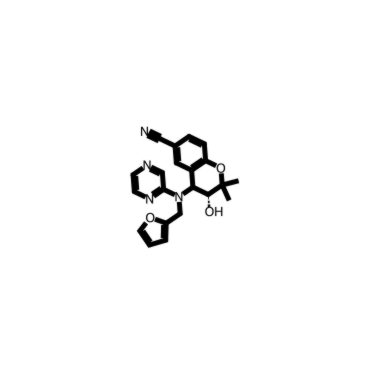 CC1(C)Oc2ccc(C#N)cc2C(N(Cc2ccco2)c2cnccn2)[C@H]1O